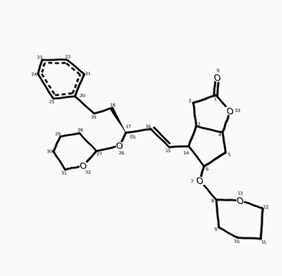 O=C1CC2C(CC(OC3CCCCO3)C2C=C[C@H](CCc2ccccc2)OC2CCCCO2)O1